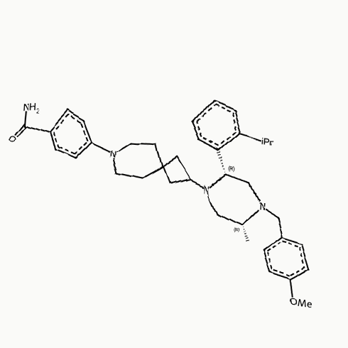 COc1ccc(CN2C[C@@H](c3ccccc3C(C)C)N(C3CC4(CCN(c5ccc(C(N)=O)cc5)CC4)C3)C[C@H]2C)cc1